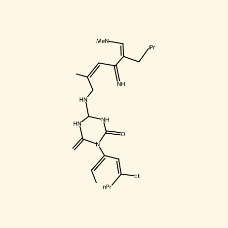 C=C1NC(NC/C(C)=C\C(=N)/C(=C\NC)CC(C)C)NC(=O)N1C(/C=C(/CC)CCC)=C/C